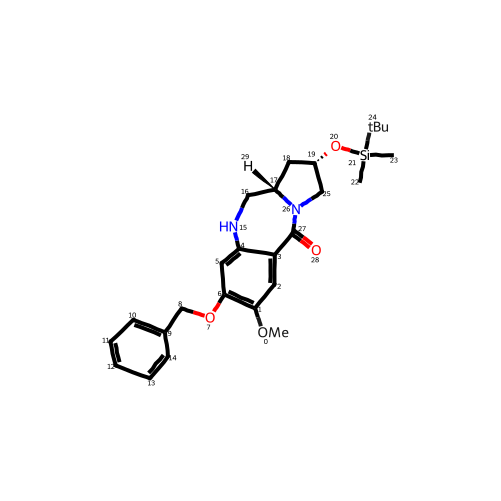 COc1cc2c(cc1OCc1ccccc1)NC[C@@H]1C[C@H](O[Si](C)(C)C(C)(C)C)CN1C2=O